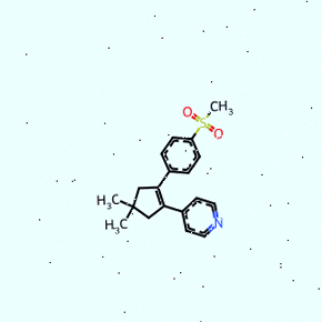 CC1(C)CC(c2ccncc2)=C(c2ccc(S(C)(=O)=O)cc2)C1